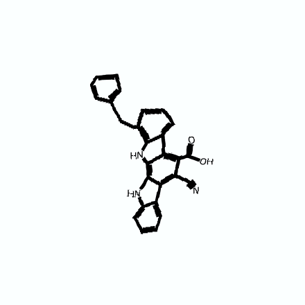 N#Cc1c(C(=O)O)c2c3cccc(Cc4ccccc4)c3[nH]c2c2[nH]c3ccccc3c12